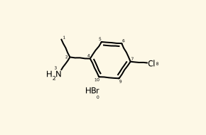 Br.CC(N)c1ccc(Cl)cc1